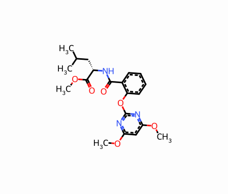 COC(=O)[C@H](CC(C)C)NC(=O)c1ccccc1Oc1nc(OC)cc(OC)n1